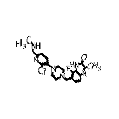 CNCc1ccc(N2CCN(Cc3ccc4nc(C)c(=O)[nH]c4c3F)CC2)c(Cl)n1